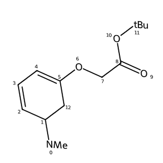 CNC1C=CC=C(OCC(=O)OC(C)(C)C)C1